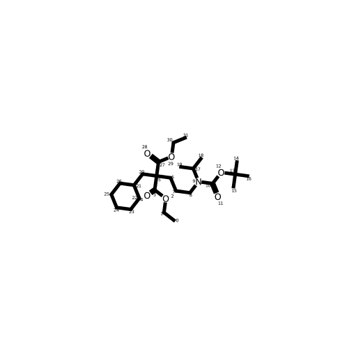 CCOC(=O)C(CCCN(C(=O)OC(C)(C)C)C(C)C)(CC1CCCCC1)C(=O)OCC